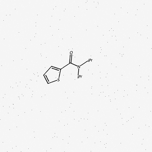 CC(C)N(C(=O)c1cccs1)C(C)C